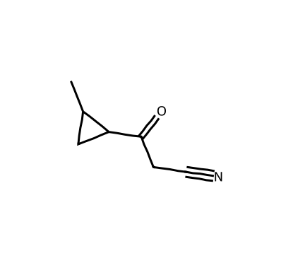 CC1CC1C(=O)CC#N